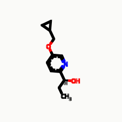 CC[C@H](O)c1ccc(OCC2CC2)cn1